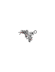 CCC(CC)C(=O)Nc1ncnn2c([C@]3(C#N)O[C@H](COC(=O)CC4CCCCCC4)[C@@H](OC(=O)[C@H](NC(=O)OC(C)(C)C)C(C)(C)C)[C@H]3O[Si](C)(C)C)ccc12